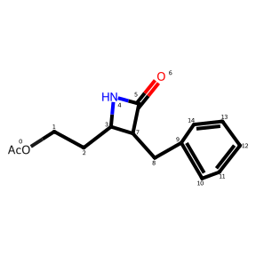 CC(=O)OCCC1NC(=O)C1Cc1ccccc1